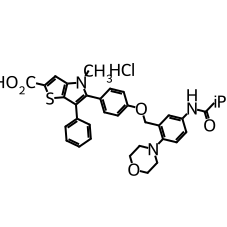 CC(C)C(=O)Nc1ccc(N2CCOCC2)c(COc2ccc(-c3c(-c4ccccc4)c4sc(C(=O)O)cc4n3C)cc2)c1.Cl